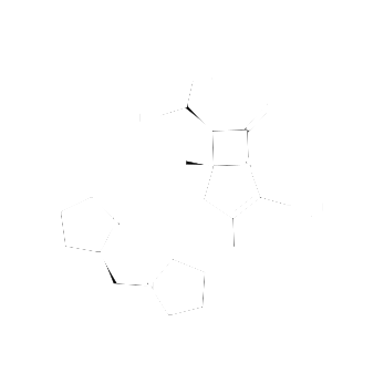 CC(O)[C@H]1C(=O)N2C(C(=O)O)=C(S[C@@H]3CCN(C[C@H]4CCCN4)C3)[C@H](C)[C@H]12